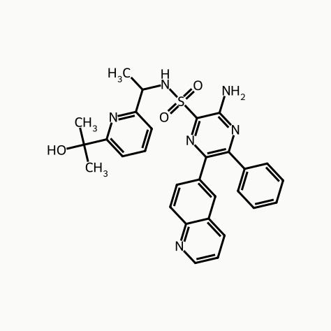 CC(NS(=O)(=O)c1nc(-c2ccc3ncccc3c2)c(-c2ccccc2)nc1N)c1cccc(C(C)(C)O)n1